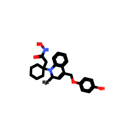 CC1C=C(COc2ccc(O)cc2)c2ccccc2N1C1(CC(=O)NO)CCCCC1